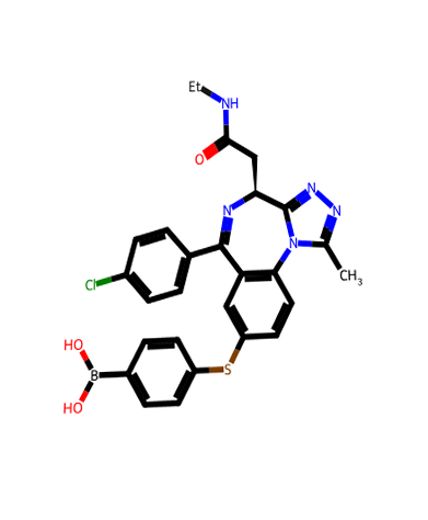 CCNC(=O)C[C@@H]1N=C(c2ccc(Cl)cc2)c2cc(Sc3ccc(B(O)O)cc3)ccc2-n2c(C)nnc21